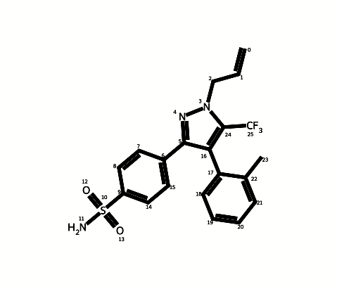 C=CCn1nc(-c2ccc(S(N)(=O)=O)cc2)c(-c2ccccc2C)c1C(F)(F)F